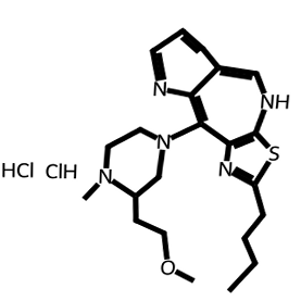 CCCCc1nc2c(s1)NC=c1cccnc1=C2N1CCN(C)C(CCOC)C1.Cl.Cl